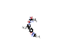 Cc1cnc(Oc2cccc(/C=C3\CCN(C(=O)Nc4cnoc4C)CC3C)c2)nc1